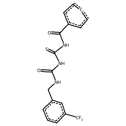 O=C(NCc1cccc(C(F)(F)F)c1)NC(=S)NC(=O)c1ccccc1